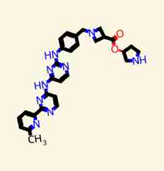 Cc1cccc(-c2nccc(Nc3ccnc(Nc4ccc(CN5CC(C(=O)O[C@H]6CCNC6)C5)cc4)n3)n2)n1